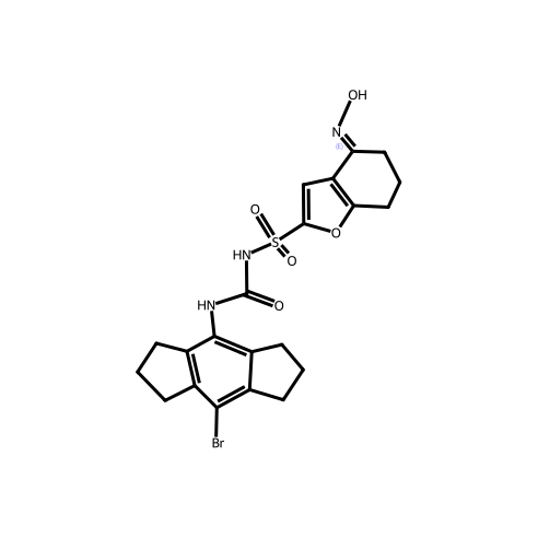 O=C(Nc1c2c(c(Br)c3c1CCC3)CCC2)NS(=O)(=O)c1cc2c(o1)CCC/C2=N\O